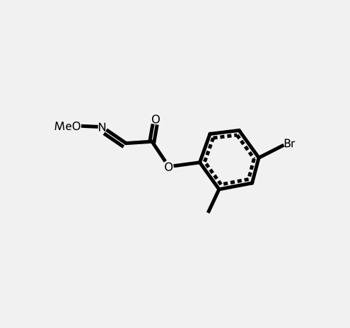 CON=CC(=O)Oc1ccc(Br)cc1C